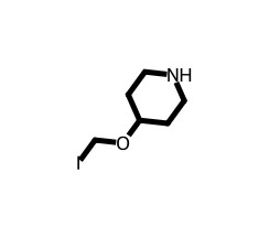 ICOC1CCNCC1